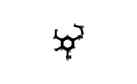 COC.COc1cc(O)cc(O)c1C